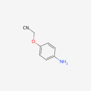 [C-]#[N+]COc1ccc(N)cc1